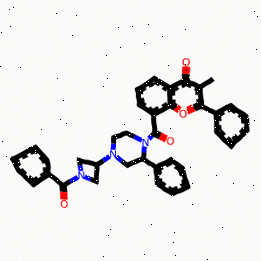 Cc1c(-c2ccccc2)oc2c(C(=O)N3CCN(C4CN(C(=O)c5ccccc5)C4)CC3c3ccccc3)cccc2c1=O